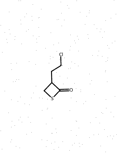 O=C1SCC1C[CH]Cl